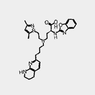 Cc1cc(C)n(CCN(CCCCc2ccc3c(n2)NCCC3)CC[C@H](Nc2nc3ccccc3o2)C(=O)O)n1